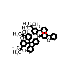 CC(C)(C)c1cccc(C2(c3cccc(C(C)(C)C)c3)c3ccccc3-c3ccc(N(c4ccc5c(c4)oc4ccccc45)c4ccc(C(C)(C)C)cc4-c4ccccc4)cc32)c1